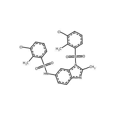 Cc1c(Cl)cccc1S(=O)(=O)Nc1ccc2nc(C)n(S(=O)(=O)c3cccc(Cl)c3C)c2c1